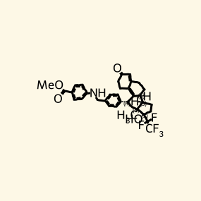 COC(=O)c1ccc(NCc2ccc([C@H]3C[C@@]4(C)[C@@H](CC[C@@]4(O)C(F)(F)C(F)(F)F)[C@@H]4CCC5=CC(=O)CCC5=C43)cc2)cc1